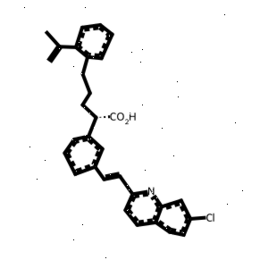 C=C(C)c1ccccc1CCC[C@H](C(=O)O)c1cccc(/C=C/c2ccc3ccc(Cl)cc3n2)c1